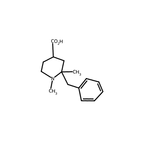 CN1CCC(C(=O)O)CC1(C)Cc1ccccc1